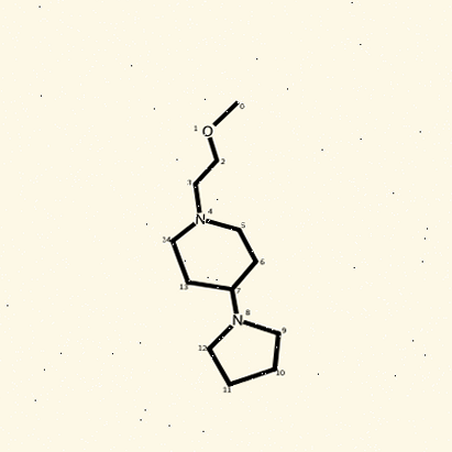 COCCN1CCC(N2CCCC2)CC1